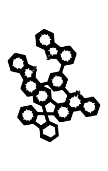 C1=CC2=C(CC1)C1(c3ccccc32)c2ccccc2-c2c1ccc1c2c(-c2cc(-c3cccc4c3sc3ccccc34)cc(-c3cccc4c3sc3ccccc34)c2)nc2ccccc21